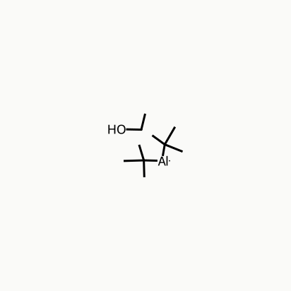 CCO.C[C](C)(C)[Al][C](C)(C)C